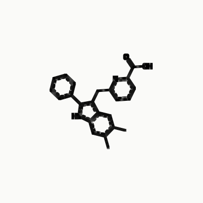 Cc1cc2[nH]c(-c3ccccc3)c(Cc3cccc(C(=O)O)n3)c2cc1C